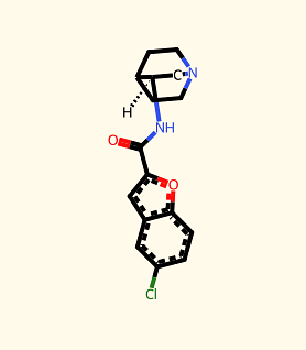 O=C(N[C@@H]1CN2CCC1CC2)c1cc2cc(Cl)ccc2o1